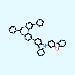 C1=C(c2ccccc2)Cc2ccc(-c3ccc4c(c3)c3ccccc3n4-c3ccc4c(c3)oc3ccccc34)cc2-c2cc(-c3ccccc3)ccc21